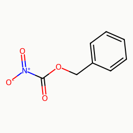 O=C(OCc1ccccc1)[N+](=O)[O-]